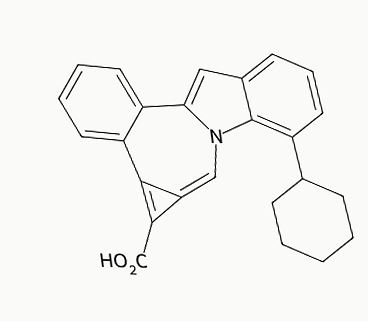 O=C(O)C1=C2C1=Cn1c(cc3cccc(C4CCCCC4)c31)-c1ccccc12